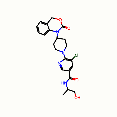 CC(CO)NC(=O)c1cnc(N2CCC(N3C(=O)OCc4ccccc43)CC2)c(Cl)c1